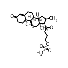 C[C@@H]1C[C@H]2[C@@H]3CCC4=CC(=O)CC[C@]4(C)C3=CC[C@]2(C)[C@H]1C(=O)CCCOS(C)(=O)=O